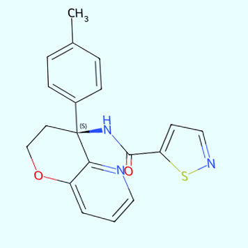 Cc1ccc([C@@]2(NC(=O)c3ccns3)CCOc3cccnc32)cc1